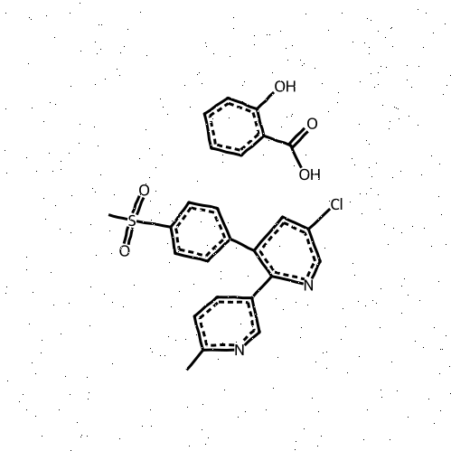 Cc1ccc(-c2ncc(Cl)cc2-c2ccc(S(C)(=O)=O)cc2)cn1.O=C(O)c1ccccc1O